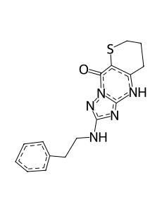 O=c1c2c([nH]c3nc(NCCc4ccccc4)nn13)CCCS2